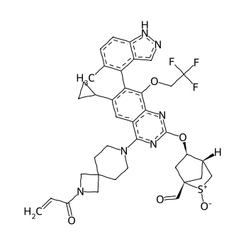 C=CC(=O)N1CC2(CCN(c3nc(O[C@@H]4C[C@]5(C=O)C[C@H]4C[S+]5[O-])nc4c(OCC(F)(F)F)c(-c5c(C)ccc6[nH]ncc56)c(C5CC5)cc34)CC2)C1